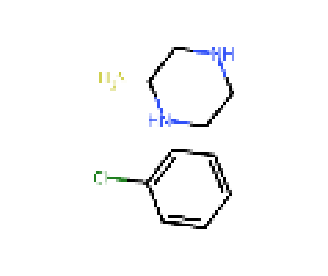 C1CNCCN1.Clc1ccccc1.S